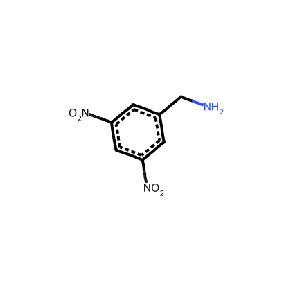 NCc1cc([N+](=O)[O-])cc([N+](=O)[O-])c1